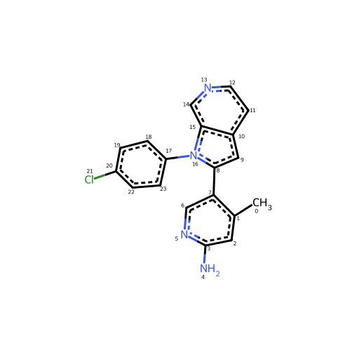 Cc1cc(N)ncc1-c1cc2ccncc2n1-c1ccc(Cl)cc1